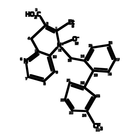 CCC1=C(C(=O)O)Cc2ncccc2[N+]1([O-])Cc1ccccc1-c1cccc(C(F)(F)F)c1